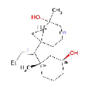 CC/C=C(/C1(C/C=C\C(C)(C)O)CC1)[C@@]1(C)CCC[C@H](O)C1